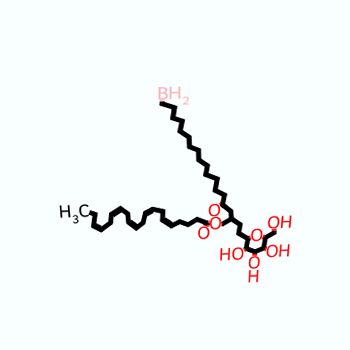 BCCCCCCCCCCCCCCC(=O)CC(CCC1OC(CO)C(O)C(O)C1O)COC(=O)CCC/C=C\C/C=C\C/C=C\C/C=C\C/C=C\CC